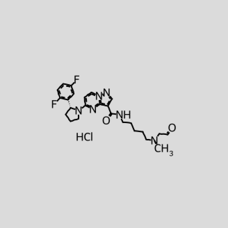 CN(CC=O)CCCCCNC(=O)c1cnn2ccc(N3CCC[C@@H]3c3cc(F)ccc3F)nc12.Cl